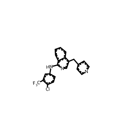 FC(F)(F)c1cc(Nc2ncc(Cc3ccncc3)c3ccccc23)ccc1Cl